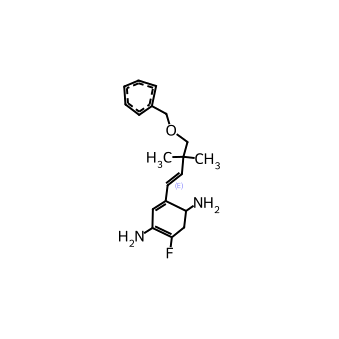 CC(C)(/C=C/C1=CC(N)=C(F)CC1N)COCc1ccccc1